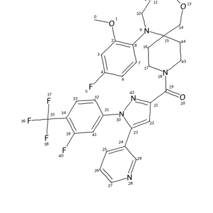 COc1cc(F)ccc1N1CNCOCC12CCN(C(=O)c1cc(-c3cccnc3)n(-c3ccc(C(F)(F)F)c(F)c3)n1)CC2